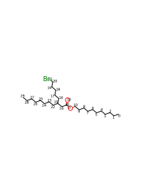 CCCCCCCCCCCOC(=O)CC(CCCCCBr)CCCCCCCC